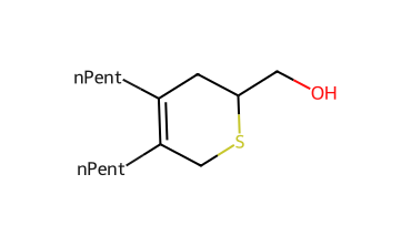 CCCCCC1=C(CCCCC)CC(CO)SC1